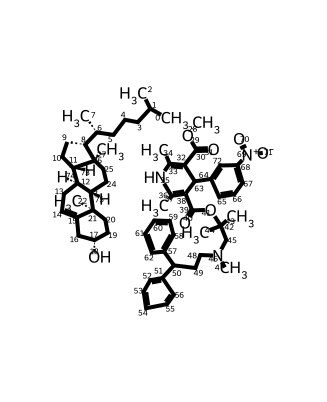 CC(C)CCC[C@@H](C)[C@H]1CC[C@H]2[C@@H]3CC=C4C[C@@H](O)CC[C@]4(C)[C@H]3CC[C@]12C.COC(=O)C1=C(C)NC(C)=C(C(=O)OC(C)(C)CN(C)CCC(c2ccccc2)c2ccccc2)C1c1cccc([N+](=O)[O-])c1